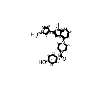 Cn1cc(-c2cc3c(N4CCN(C(=O)[C@H]5CC[C@H](O)CC5)CC4)ccnc3[nH]2)cn1